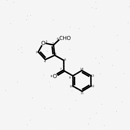 O=Cc1occc1CC(=O)c1ccccc1